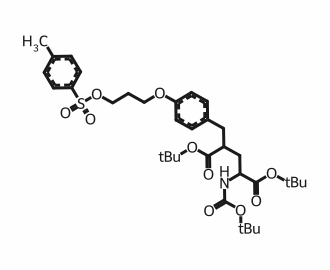 Cc1ccc(S(=O)(=O)OCCCOc2ccc(CC(CC(NC(=O)OC(C)(C)C)C(=O)OC(C)(C)C)C(=O)OC(C)(C)C)cc2)cc1